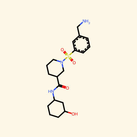 NCc1cccc(S(=O)(=O)N2CCCC(C(=O)NC3CCCC(O)C3)C2)c1